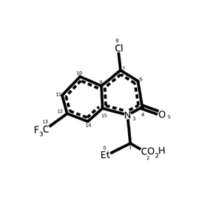 CCC(C(=O)O)n1c(=O)cc(Cl)c2ccc(C(F)(F)F)cc21